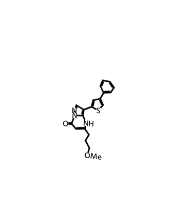 COCCCc1cc(=O)n2ncc(-c3cc(-c4ccccc4)cs3)c2[nH]1